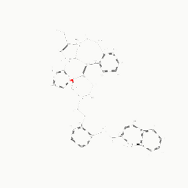 OCC1=CN(c2ncc[nH]2)C2C(=C3CCN(CCc4ccccc4OCc4ccc5ccccc5n4)CC3)c3ccccc3CCN12